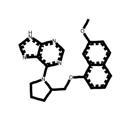 COc1ccc2cccc(OCC3CCCN3c3ncnc4[nH]cnc34)c2c1